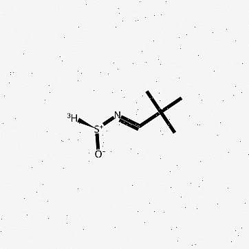 [3H][S@+]([O-])/N=C/C(C)(C)C